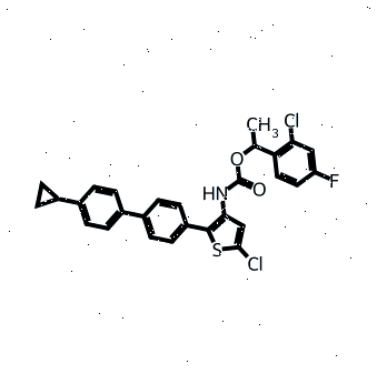 CC(OC(=O)Nc1cc(Cl)sc1-c1ccc(-c2ccc(C3CC3)cc2)cc1)c1ccc(F)cc1Cl